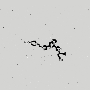 C#CCC(C1CC1)n1cc(-c2nc(-c3cnn(CCN4CCN(C)CC4)c3)cc3nccn23)cn1